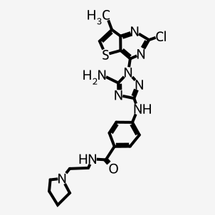 Cc1csc2c(-n3nc(Nc4ccc(C(=O)NCCN5CCCC5)cc4)nc3N)nc(Cl)nc12